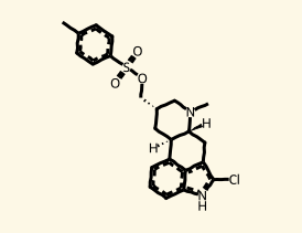 Cc1ccc(S(=O)(=O)OC[C@H]2C[C@@H]3c4cccc5[nH]c(Cl)c(c45)C[C@H]3N(C)C2)cc1